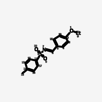 CCOc1ccc(C=NS(=O)(=O)c2ccc(C)cc2)cc1